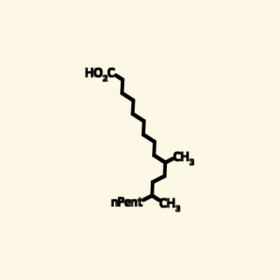 CCCCCC(C)CCC(C)CCCCCCCCC(=O)O